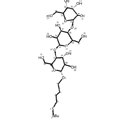 CCCCSCCCCO[C@@H]1OC(CO)[C@@H](O[C@@H]2OC(CO)[C@H](O[C@H]3OC(CO)[C@H](O)[C@H](O)C3O)[C@H](O)C2O)[C@H](O)C1O